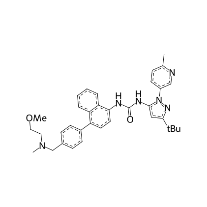 COCCN(C)Cc1ccc(-c2ccc(NC(=O)Nc3cc(C(C)(C)C)nn3-c3ccc(C)nc3)c3ccccc23)cc1